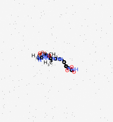 CCc1cc(Nc2ncc(Br)c(Nc3ccc4nccnc4c3P(C)(C)=O)n2)c(OC)cc1N1CCC(N2CCN(CC3CCC(c4ccc5c(c4)CN(C4CCC(=O)NC4=O)C5=O)CC3)CC2)CC1